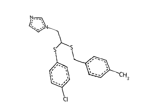 Cc1ccc(CSC(Cn2ccnc2)Sc2ccc(Cl)cc2)cc1